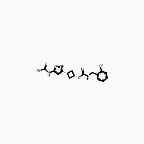 CC(C)C(=O)Nc1cc([C@H]2C[C@@H](OC(=O)NCc3ccccc3C(F)(F)F)C2)[nH]n1